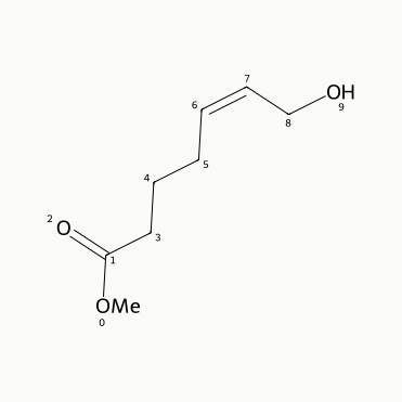 COC(=O)CCC/C=C\CO